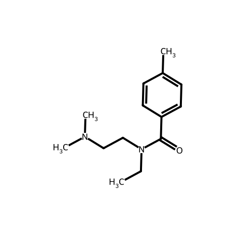 CCN(CCN(C)C)C(=O)c1ccc(C)cc1